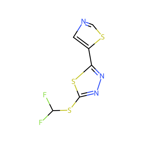 FC(F)Sc1nnc(-c2cncs2)s1